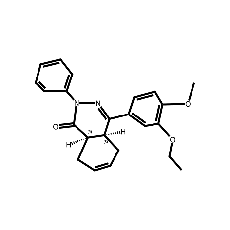 CCOc1cc(C2=NN(c3ccccc3)C(=O)[C@@H]3CC=CC[C@H]23)ccc1OC